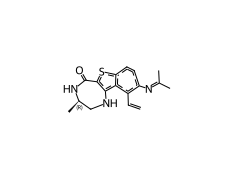 C=Cc1c(N=C(C)C)ccc2sc3c(c12)NC[C@@H](C)NC3=O